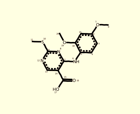 COc1ccc(Nc2nc(SC)ncc2C(=O)O)c(OC)c1